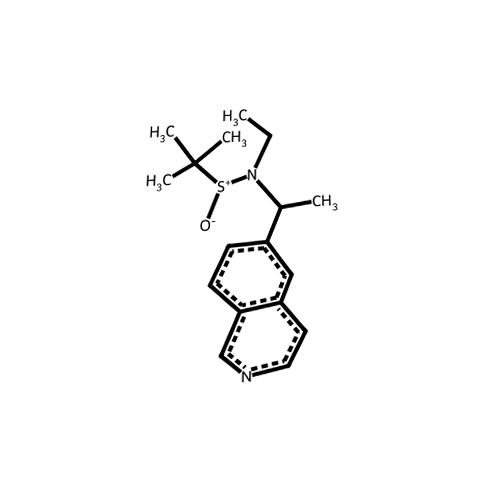 CCN(C(C)c1ccc2cnccc2c1)[S+]([O-])C(C)(C)C